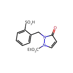 CCOC(=O)n1ccc(=O)n1Cc1ccccc1S(=O)(=O)O